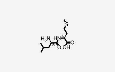 CSCC[C@H](NC(=O)[C@H](N)CC(C)C)C(=O)O